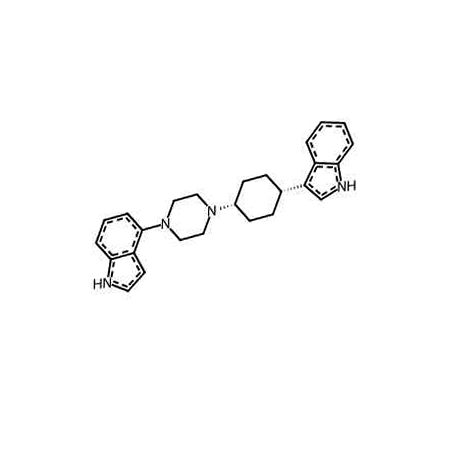 c1cc(N2CCN([C@H]3CC[C@@H](c4c[nH]c5ccccc54)CC3)CC2)c2cc[nH]c2c1